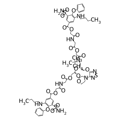 CCCCNc1cc(C(=O)OCC(=O)NCC(=O)OCC(=O)O[C@H](COc2nsnc2N2CCOCC2)CN(C(=O)COC(=O)CNC(=O)COC(=O)c2cc(NCCCC)c(Oc3ccccc3)c(S(N)(=O)=O)c2)C(C)(C)C)cc(S(N)(=O)=O)c1Oc1ccccc1